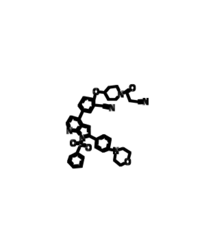 N#CCC(=O)N1CCC(Oc2ccc(-c3ccnc4c3cc(-c3ccc(N5CCOCC5)cc3)n4S(=O)(=O)c3ccccc3)cc2C#N)CC1